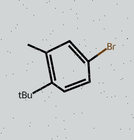 Cc1cc(Br)ccc1C(C)(C)C